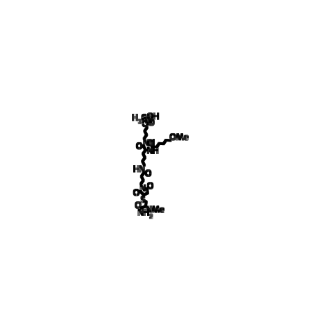 CN[C@@H](CSC1CC(=O)N(CCCC(=O)NCCCCC(NC(=O)CCCCCOC)C(=O)NCCCCOP(C)(=O)O)C1=O)C(N)=O